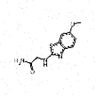 COc1ccc2nc(NCC(N)=O)sc2c1